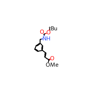 COC(=O)/C=C/c1cccc(CNC(=O)OC(C)(C)C)c1